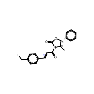 C[C@@H]1[C@@H](c2ccccc2)OC(=O)N1C(=O)/C=C/c1ccc(CF)cc1